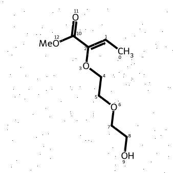 CC=C(OCCOCCO)C(=O)OC